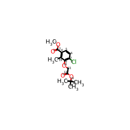 COC(=O)c1ccc(Cl)c(OCC(=O)OC(C)(C)C)c1C